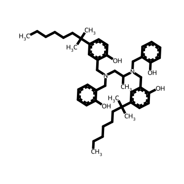 CCCCCCC(C)(C)c1ccc(O)c(CN(Cc2ccccc2O)CC(C)N(Cc2ccccc2O)Cc2cc(C(C)(C)CCCCCC)ccc2O)c1